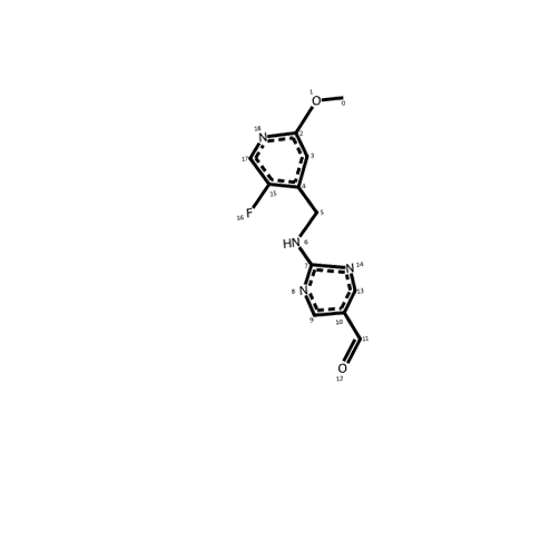 COc1cc(CNc2ncc(C=O)cn2)c(F)cn1